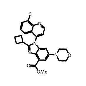 COC(=O)c1cc(N2CCOCC2)cc2c1nc(C1CCC1)n2-c1ccnc2c(Cl)cccc12